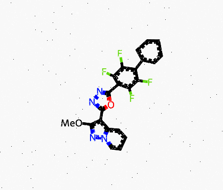 COc1nn2ccccc2c1-c1nnc(-c2c(F)c(F)c(-c3ccccc3)c(F)c2F)o1